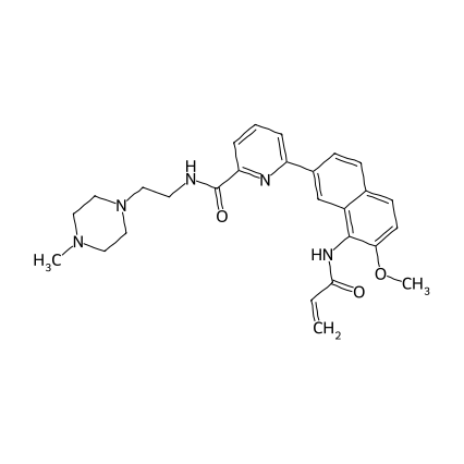 C=CC(=O)Nc1c(OC)ccc2ccc(-c3cccc(C(=O)NCCN4CCN(C)CC4)n3)cc12